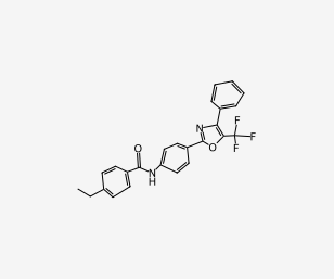 CCc1ccc(C(=O)Nc2ccc(-c3nc(-c4ccccc4)c(C(F)(F)F)o3)cc2)cc1